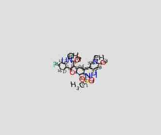 CCS(=O)(=O)Nc1cc2oc(-c3ccc(F)cc3)c(C(=O)NC)c2cc1-c1ccc(=O)n(C)c1